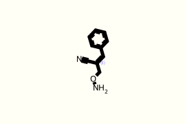 N#C/C(=C\c1ccccc1)CON